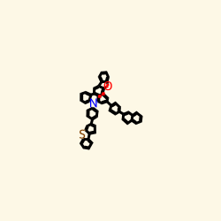 c1cc(-c2ccc(-c3ccc4ccccc4c3)cc2)cc(N(c2ccc(-c3ccc4c(c3)sc3ccccc34)cc2)c2ccccc2-c2ccc3oc4ccccc4c3c2)c1